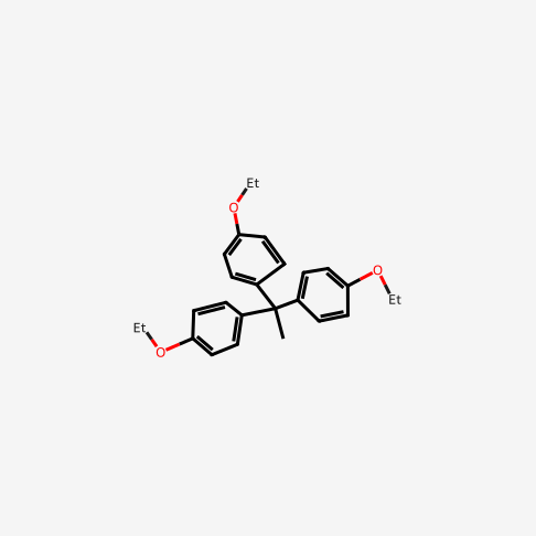 CCOc1ccc(C(C)(c2ccc(OCC)cc2)c2ccc(OCC)cc2)cc1